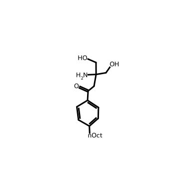 CCCCCCCCc1ccc(C(=O)CC(N)(CO)CO)cc1